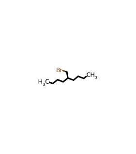 CCCCC(CBr)CCCC